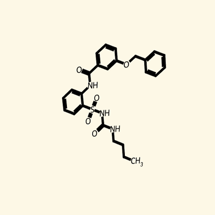 CCCCNC(=O)NS(=O)(=O)c1ccccc1NC(=O)c1cccc(OCc2ccccc2)c1